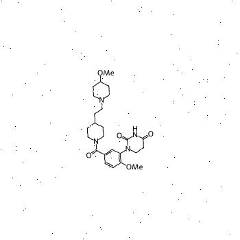 COc1ccc(C(=O)N2CCC(CCN3CCC(OC)CC3)CC2)cc1N1CCC(=O)NC1=O